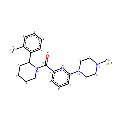 Cc1ccccc1C1CCCCN1C(=O)c1cccc(N2CCN(C)CC2)n1